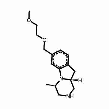 COCCOCc1ccc2c(c1)N1[C@@H](CNC[C@H]1C)C2